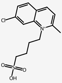 Cc1ccc2ccc(Cl)cc2[n+]1CCCCS(=O)(=O)O